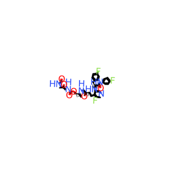 O=C(NCC1CNC(=O)O1)OC[C@@H]1CO[C@H](CCc2c(F)cncc2N[C@@H](Cc2ccc(F)cc2)C(=O)Nc2ccc(F)cc2)CN1